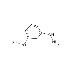 CC(C)Oc1cccc(NN)c1